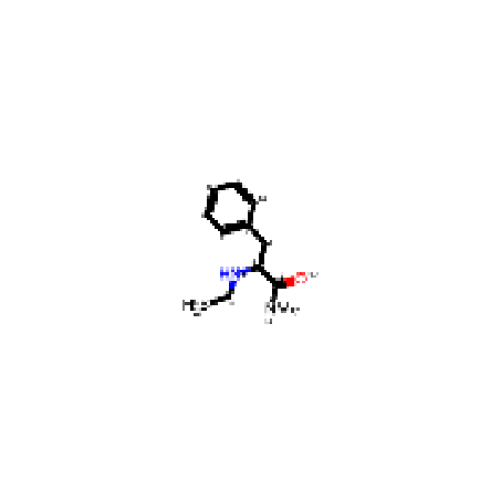 BCNC(Cc1ccccc1)C(=O)NC